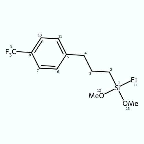 CC[Si](CCCc1ccc(C(F)(F)F)cc1)(OC)OC